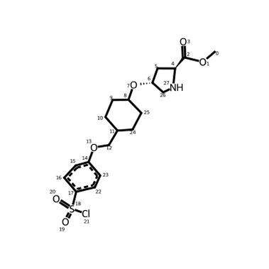 COC(=O)[C@@H]1C[C@@H](OC2CCC(COc3ccc(S(=O)(=O)Cl)cc3)CC2)CN1